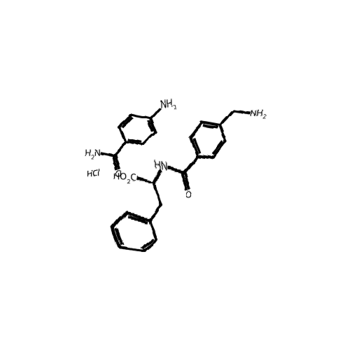 Cl.NC(=O)c1ccc(N)cc1.NCc1ccc(C(=O)N[C@@H](Cc2ccccc2)C(=O)O)cc1